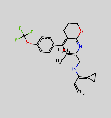 C=CC(NCC(/N=C1/OCCC/C1=C(/C)c1ccc(OC(F)(F)F)cc1)=C(C)C)=C1CC1